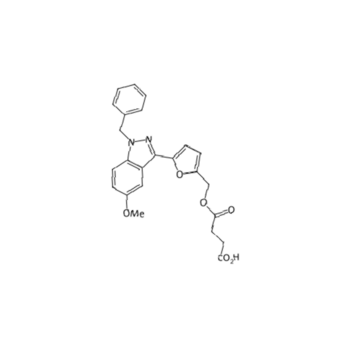 COc1ccc2c(c1)c(-c1ccc(COC(=O)CCC(=O)O)o1)nn2Cc1ccccc1